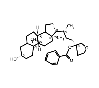 C[C@H](CC[C@@]1(OC(=O)c2ccccc2)CCOC1)[C@H]1CCC2[C@@H]3CCC4C[C@@H](O)CC[C@]4(C)[C@H]3CC[C@@]21C